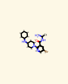 CCC(N)NC(=O)c1cc(Br)cnc1N1CCC(NC2CCCCC2)CC1